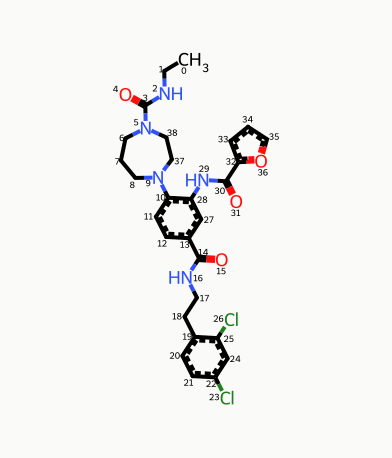 CCNC(=O)N1CCCN(c2ccc(C(=O)NCCc3ccc(Cl)cc3Cl)cc2NC(=O)c2ccco2)CC1